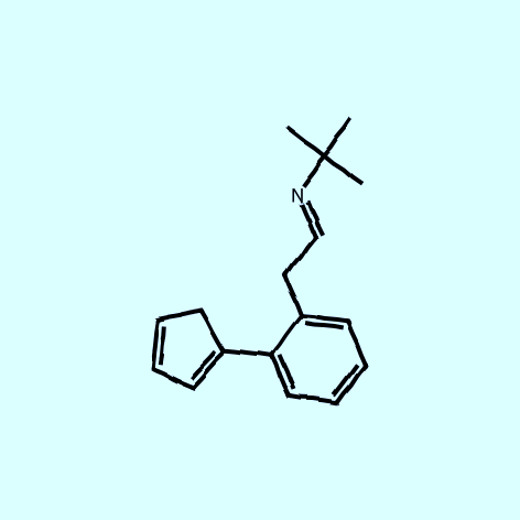 CC(C)(C)N=CCc1ccccc1C1=CC=CC1